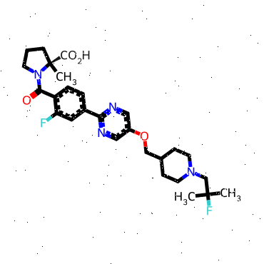 CC(C)(F)CN1CCC(COc2cnc(-c3ccc(C(=O)N4CCC[C@@]4(C)C(=O)O)c(F)c3)nc2)CC1